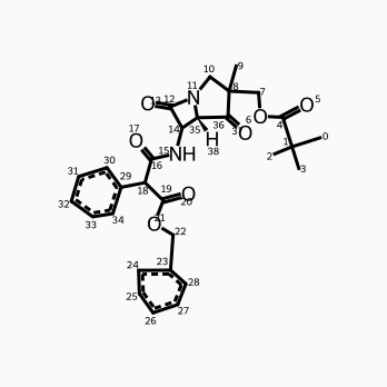 CC(C)(C)C(=O)OCC1(C)CN2C(=O)C(NC(=O)C(C(=O)OCc3ccccc3)c3ccccc3)[C@H]2C1=O